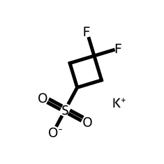 O=S(=O)([O-])C1CC(F)(F)C1.[K+]